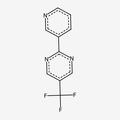 FC(F)(F)c1cnc(-c2cccnc2)nc1